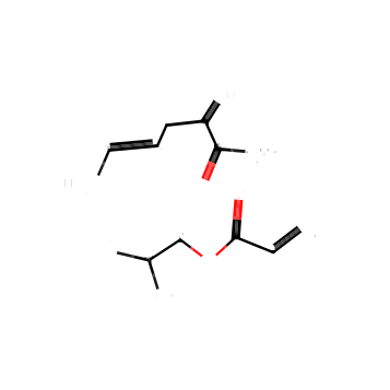 C=C(CC=CC(=O)O)C(=O)OC.C=CC(=O)OCC(CC)CCCC